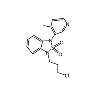 Cc1ccncc1N1c2ccccc2N(CCCCl)S1(=O)=O